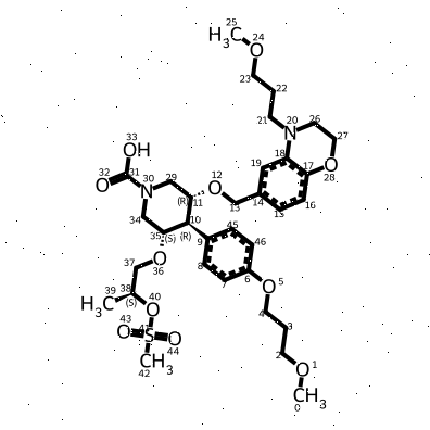 COCCCOc1ccc([C@@H]2[C@@H](OCc3ccc4c(c3)N(CCCOC)CCO4)CN(C(=O)O)C[C@H]2OC[C@H](C)OS(C)(=O)=O)cc1